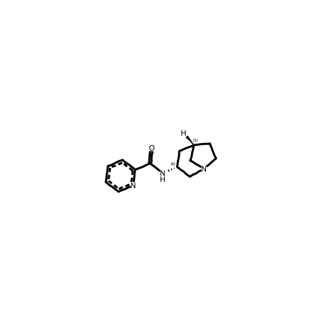 O=C(N[C@@H]1C[C@@H]2CCN(C2)C1)c1ccccn1